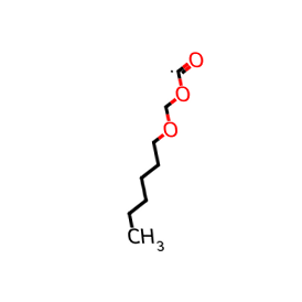 CCCCCCOCO[C]=O